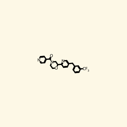 O=C(c1ccncc1)N1CCOC(c2ccc(Cc3cccc(C(F)(F)F)c3)cn2)C1